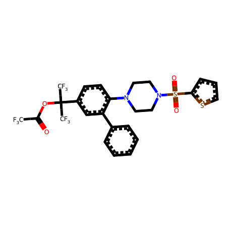 O=C(OC(c1ccc(N2CCN(S(=O)(=O)c3cccs3)CC2)c(-c2ccccc2)c1)(C(F)(F)F)C(F)(F)F)C(F)(F)F